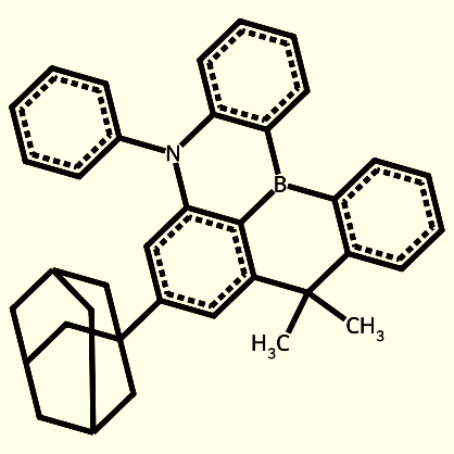 CC1(C)c2ccccc2B2c3ccccc3N(c3ccccc3)c3cc(C45CC6CC(CC(C6)C4)C5)cc1c32